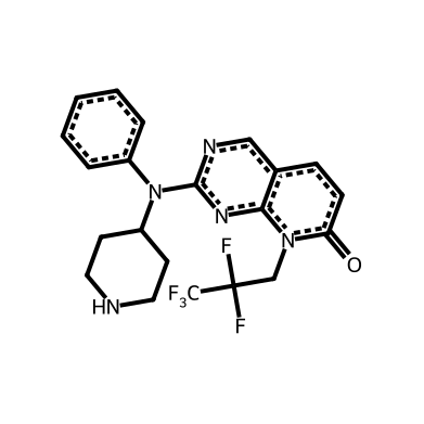 O=c1ccc2cnc(N(c3ccccc3)C3CCNCC3)nc2n1CC(F)(F)C(F)(F)F